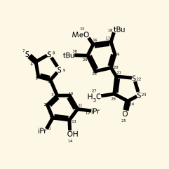 CC(C)c1cc(-c2cc(=S)ss2)cc(C(C)C)c1O.COc1c(C(C)(C)C)cc(-c2ssc(=O)c2C)cc1C(C)(C)C